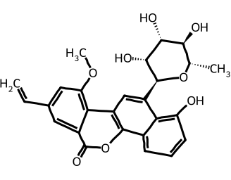 C=Cc1cc(OC)c2c(c1)c(=O)oc1c3cccc(O)c3c([C@@H]3O[C@@H](C)[C@H](O)[C@@H](O)[C@H]3O)cc12